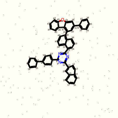 c1ccc(-c2ccc(-c3nc(-c4ccc5ccccc5c4)nc(-c4cccc5c(-c6cc(-c7ccccc7)cc7oc8ccccc8c67)cccc45)n3)cc2)cc1